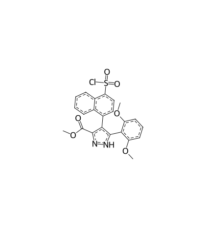 COC(=O)c1n[nH]c(-c2c(OC)cccc2OC)c1-c1ccc(S(=O)(=O)Cl)c2ccccc12